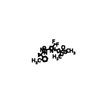 COC(=O)C1(OC)CC(n2nc(-c3nc(C4(c5ccccc5C)CC4)no3)cc2C(F)F)C1